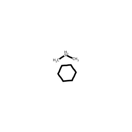 C1CCCCC1.C[SiH2]C